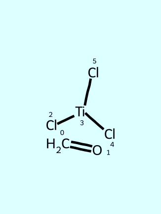 C=O.[Cl][Ti]([Cl])[Cl]